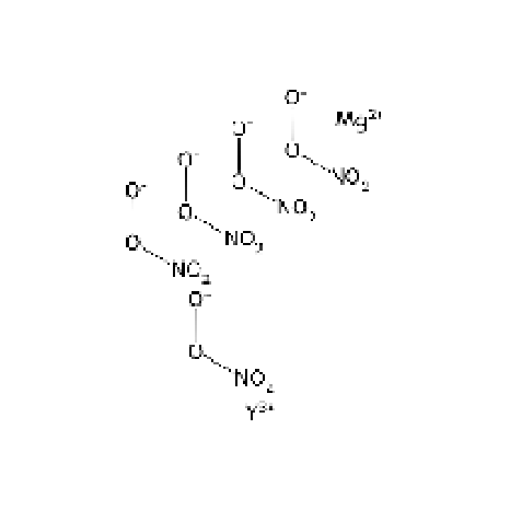 O=[N+]([O-])O[O-].O=[N+]([O-])O[O-].O=[N+]([O-])O[O-].O=[N+]([O-])O[O-].O=[N+]([O-])O[O-].[Mg+2].[Y+3]